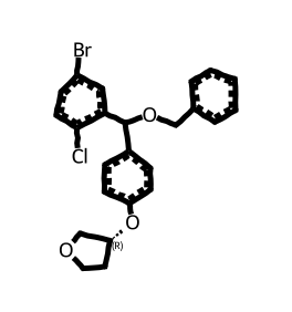 Clc1ccc(Br)cc1C(OCc1ccccc1)c1ccc(O[C@@H]2CCOC2)cc1